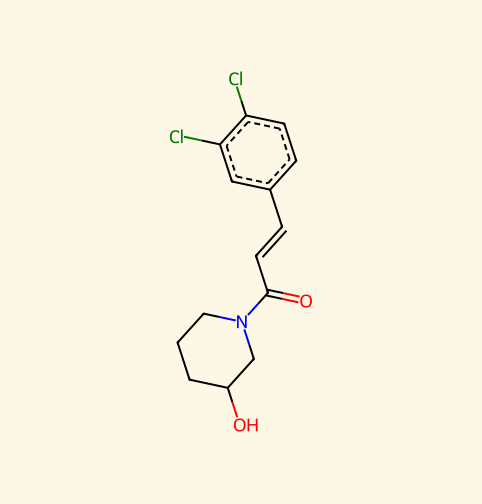 O=C(C=Cc1ccc(Cl)c(Cl)c1)N1CCCC(O)C1